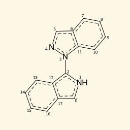 [c]1[nH]c(-n2ncc3ccccc32)c2ccccc12